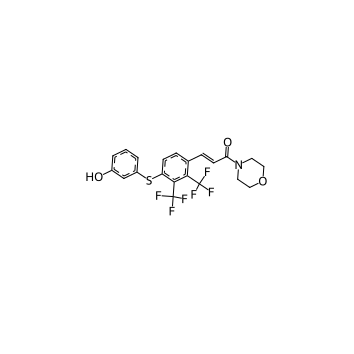 O=C(/C=C/c1ccc(Sc2cccc(O)c2)c(C(F)(F)F)c1C(F)(F)F)N1CCOCC1